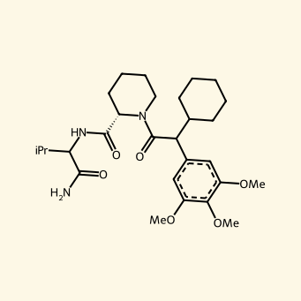 COc1cc(C(C(=O)N2CCCC[C@H]2C(=O)NC(C(N)=O)C(C)C)C2CCCCC2)cc(OC)c1OC